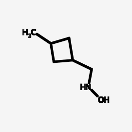 CC1CC(CNO)C1